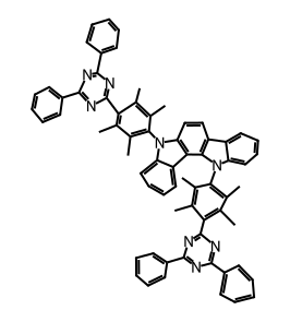 Cc1c(C)c(-n2c3ccccc3c3c2ccc2c4ccccc4n(-c4c(C)c(C)c(-c5nc(-c6ccccc6)nc(-c6ccccc6)n5)c(C)c4C)c23)c(C)c(C)c1-c1nc(-c2ccccc2)nc(-c2ccccc2)n1